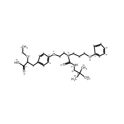 CCOC(Cc1ccc(OCCN(CCCOc2ccccc2)C(=O)NCC(C)(C)C)cc1)C(=O)O